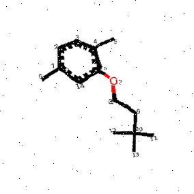 Cc1ccc(C)c(OCCC(C)(C)C)c1